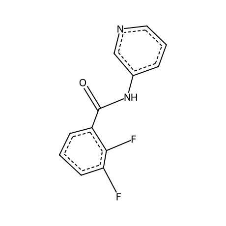 O=C(Nc1cccnc1)c1cccc(F)c1F